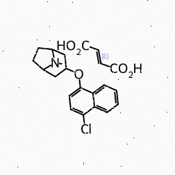 CN1C2CCC1CC(Oc1ccc(Cl)c3ccccc13)C2.O=C(O)/C=C/C(=O)O